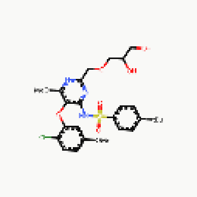 COc1ccc(Cl)c(Oc2c(NS(=O)(=O)c3ccc(C(C)(C)C)cc3)nc(COCC(O)CO)nc2OC)c1